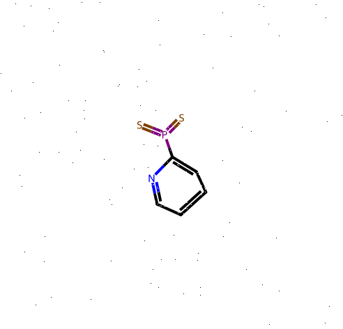 S=P(=S)c1ccccn1